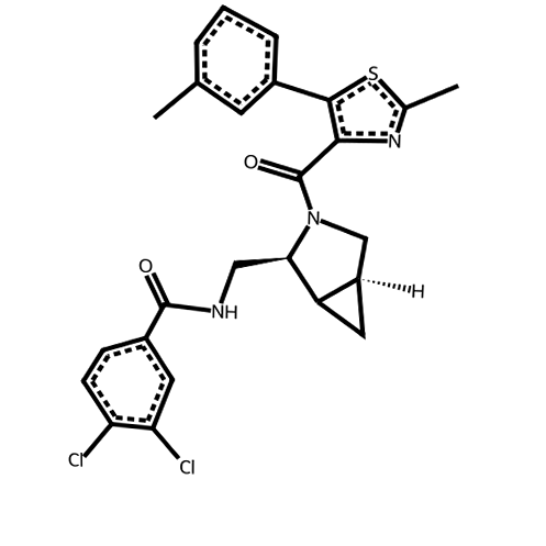 Cc1cccc(-c2sc(C)nc2C(=O)N2C[C@H]3CC3[C@H]2CNC(=O)c2ccc(Cl)c(Cl)c2)c1